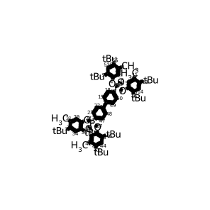 Cc1cc(OP(=O)(Oc2cc(C)c(C(C)(C)C)cc2C(C)(C)C)c2ccc(-c3ccc(P(=O)(Oc4cc(C)c(C(C)(C)C)cc4C(C)(C)C)Oc4cc(C)c(C(C)(C)C)cc4C(C)(C)C)cc3)cc2)c(C(C)(C)C)cc1C(C)(C)C